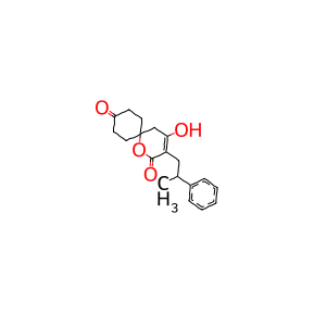 CC(CC1=C(O)CC2(CCC(=O)CC2)OC1=O)c1ccccc1